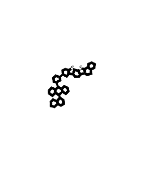 c1cc(-c2ccc3sc4c(ccc5c6ccc7ccccc7c6sc54)c3c2)cc(-c2c3ccccc3c(-c3cccc4ccccc34)c3ccccc23)c1